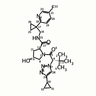 CC(C)(C)[C@@H](C(=O)N1C[C@H](O)C[C@H]1C(=O)NCC1(c2ccc(F)cn2)CC1)n1cc(C2CC2)nn1